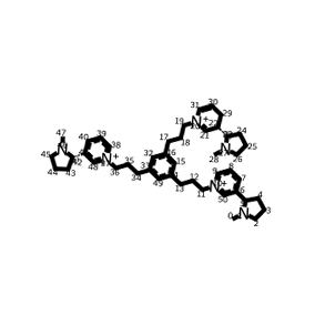 CN1CCCC1c1ccc[n+](CCCc2cc(CCC[N+]3=CC([C@@H]4CCCN4C)CC=C3)cc(CCC[n+]3cccc([C@@H]4CCCN4C)c3)c2)c1